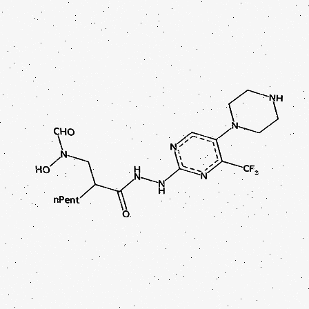 CCCCCC(CN(O)C=O)C(=O)NNc1ncc(N2CCNCC2)c(C(F)(F)F)n1